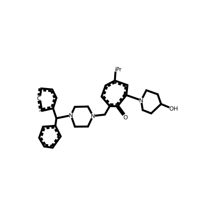 CC(C)c1ccc(CN2CCN(C(c3ccccc3)c3ccccc3)CC2)c(=O)c(N2CCC(O)CC2)c1